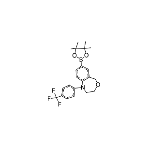 CC1(C)OB(c2ccc3c(c2)COCCN3c2ccc(C(F)(F)F)cc2)OC1(C)C